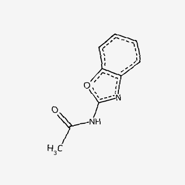 CC(=O)Nc1nc2ccccc2o1